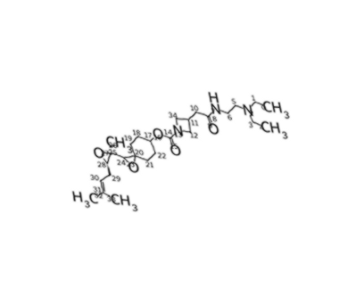 CCN(CC)CCNC(=O)CC1CN(C(=O)OC2CCC3(CC2)OC3[C@]2(C)O[C@@H]2CC=C(C)C)C1